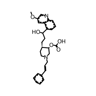 COc1cnc2cccc(C(O)CC[C@@H]3CCN(C/C=C/c4ccccc4)C[C@@H]3OC(=O)O)c2c1